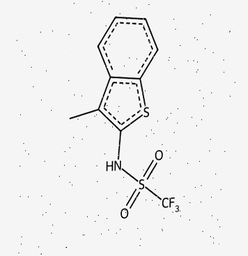 Cc1c(NS(=O)(=O)C(F)(F)F)sc2ccccc12